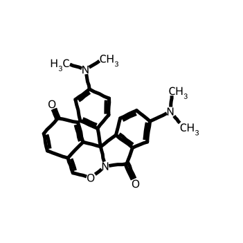 CN(C)c1ccc(C23C4=CC(=O)C=CC4=CON2C(=O)c2cc(N(C)C)ccc23)cc1